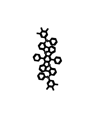 Cc1cc(N(c2ccccc2)c2cccc3c2c2cccc4c5c(-c6ccccc6)c6c(c(C7=CC=CCC7)c5n3c24)c2cccc3c4c(N(c5ccccc5)c5cc(C)c(C)c(C)c5)cccc4n6c32)cc(C)c1C